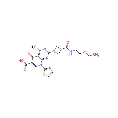 CCOCCNC(=O)C1CN(c2nc(C)c3c(=O)c(C(=O)O)cn(-c4nccs4)c3n2)C1